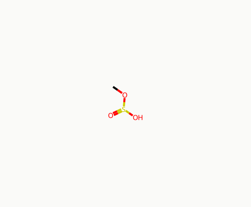 COS(=O)O